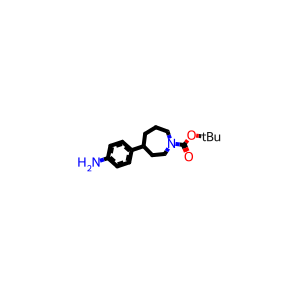 CC(C)(C)OC(=O)N1CCCC(c2ccc(N)cc2)CC1